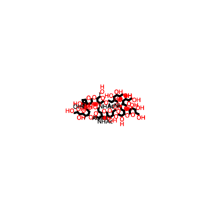 CC(=O)NC1C(O)[C@H](O[C@@H]2OC3CC(O)(O)[C@@H]3[C@H](O[C@]3(OC=O)C[C@@H](O)[C@@H](C)C(C(O)[C@H](O)CO)O3)C2O)[C@H](CO)O[C@H]1OCCC1[C@@H](OCC2O[C@@H](O[C@@H]3C(CO)O[C@@H](O[C@@H]4C(CO)O[C@@H](C)C(NC(C)=O)[C@H]4O)C(NC(C)=O)[C@H]3O)C(O)[C@@H](O[C@H]3OC(CO)[C@@H](O)C(O)C3O[C@@H]3OC(CO)[C@@H](O)[C@H](O)C3NC(C)=O)[C@@H]2O)OC(CO)[C@@H](O)[C@@H]1O